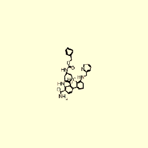 Cc1c(NCc2ccccn2)cccc1-c1ccc(C(N)=O)c2[nH]c3c(c12)CCC(NC(=O)OCc1ccccc1)C3